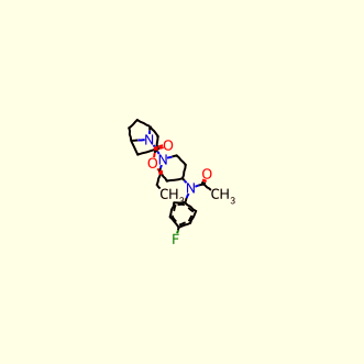 CCCOC(=O)N1C2CCC1CC(N1CCC(N(C(C)=O)c3ccc(F)cc3)CC1)C2